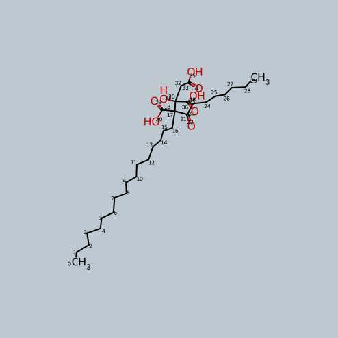 CCCCCCCCCCCCCCCCCC(C(=O)O)(C(=O)CCCCCCC)C(O)(CC(=O)O)C(=O)O